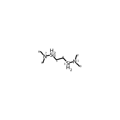 CN(C)[SiH2]CC[SiH2]N(C)C